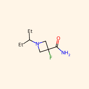 CCC(CC)N1CC(F)(C(N)=O)C1